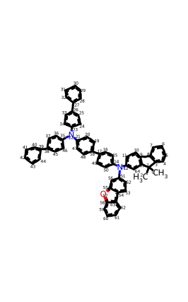 CC1(C)c2ccccc2-c2ccc(N(c3ccc(-c4ccc(N(c5ccc(-c6ccccc6)cc5)c5ccc(-c6ccccc6)cc5)cc4)cc3)c3ccc4c(c3)oc3ccccc34)cc21